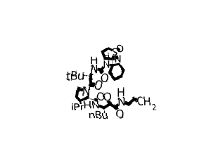 C=CCNC(=O)C(=O)[C@H](CCCC)NC(=O)[C@@H]1[C@@H](C(C)C)CCN1C(=O)[C@@H](NC(=O)NC1([C@]23CCCS2(=O)=N3)CCCCC1)C(C)(C)C